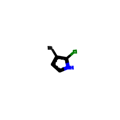 CCc1cc[nH]c1Cl